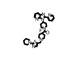 O=C(N1CCC(n2c(-c3ccccn3)nc3cccnc32)CC1)C1(F)CCN(Cc2cnc(N3CCCCC3)s2)CC1